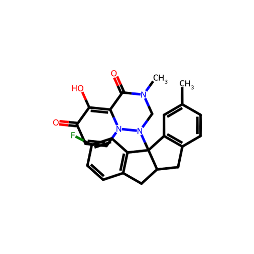 Cc1ccc2c(c1)C1(N3CN(C)C(=O)c4c(O)c(=O)ccn43)c3cc(F)ccc3CC1C2